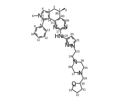 C[C@@H]1Cc2cn(C)c(-c3ccccc3)c2-c2nc(Nc3ccn(CCN4CCN(CC5CCCO5)CC4)n3)ncc21